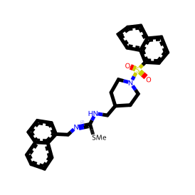 CS/C(=N\Cc1cccc2ccccc12)NCC1CCN(S(=O)(=O)c2cccc3ccccc23)CC1